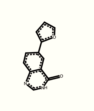 O=c1[nH]cnc2ccc(-c3ccco3)cc12